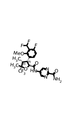 COc1c([C@@H]2[C@@H](C(=O)Nc3cnc(C(N)=O)nc3)O[C@](C)(C(F)(F)F)[C@@H]2C)ccc(F)c1C(F)F